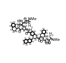 CNC(C)C(=O)NC(C(=O)N1Cc2ccccc2CC1C(=O)N(CCc1ccc2ccccc2c1)Cc1ccc(C(=O)N[C@H]2C[C@@H](C(=O)N[C@@H]3CCCc4ccccc43)N(C(=O)C(NC(=O)C(C)NC)C(C)(C)C)C2)cc1)C(C)(C)C